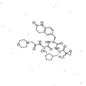 C[C@H](NC(=O)CN1CCOCC1)C(=O)N[C@@H](Cc1ccc2c(c1)CCC(=O)N2)C(=O)N[C@@H](CC1CCCC1)C(=O)[C@@]1(C)CO1